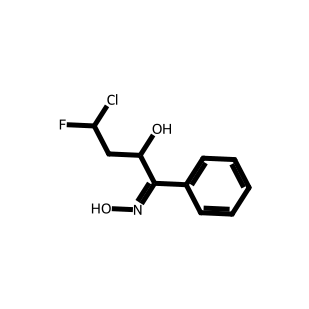 ON=C(c1ccccc1)C(O)CC(F)Cl